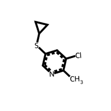 Cc1ncc(SC2CC2)cc1Cl